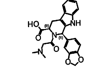 CN(C)CC(=O)N1[C@H](c2ccc3c(c2)OCO3)c2[nH]c3ccccc3c2C[C@@H]1C(=O)O